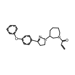 C=CC(=O)N1CCCCC(N2CCC(c3ccc(Oc4ccccc4)cc3)=N2)C1